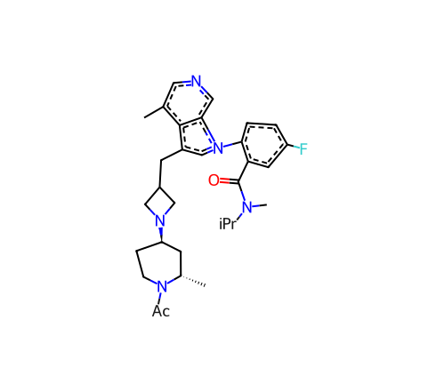 CC(=O)N1CC[C@@H](N2CC(Cc3cn(-c4ccc(F)cc4C(=O)N(C)C(C)C)c4cncc(C)c34)C2)C[C@@H]1C